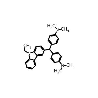 CCn1c2ccccc2c2cc(C(c3ccc(N(C)C)cc3)c3ccc(N(C)C)cc3)ccc21